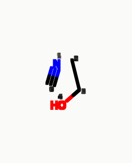 C#N.CCO